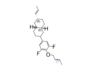 CC=C[C@@H]1CC[C@@H]2CC(c3cc(F)c(OC/C=C/C)c(F)c3)CC[C@@H]2C1